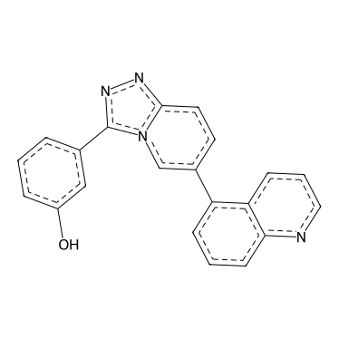 Oc1cccc(-c2nnc3ccc(-c4cccc5ncccc45)cn23)c1